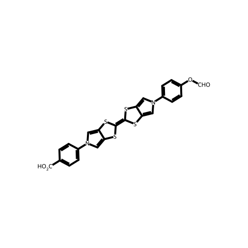 O=COc1ccc(-n2cc3c(c2)SC(=C2Sc4cn(-c5ccc(C(=O)O)cc5)cc4S2)S3)cc1